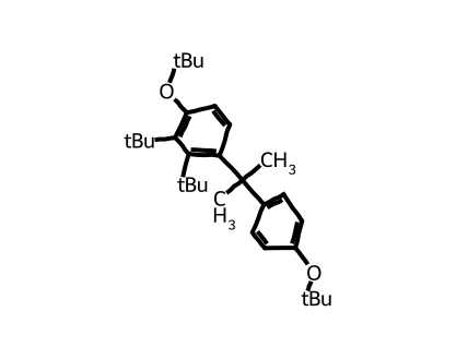 CC(C)(C)Oc1ccc(C(C)(C)c2ccc(OC(C)(C)C)c(C(C)(C)C)c2C(C)(C)C)cc1